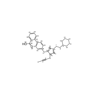 CC#CCn1nc(CCC2CCCCC2)nc1Cc1ccc(-c2ccccc2C(=O)O)cc1